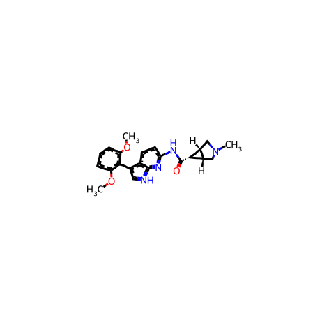 COc1cccc(OC)c1-c1c[nH]c2nc(NC(=O)[C@@H]3[C@@H]4CN(C)C[C@@H]43)ccc12